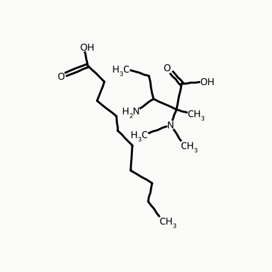 CCC(N)C(C)(C(=O)O)N(C)C.CCCCCCCCCC(=O)O